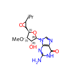 CO[C@H]1[C@@H](O)[C@H](n2cnc3c(=O)[nH]c(N)nc32)O[C@@H]1C1OC1C(C)C